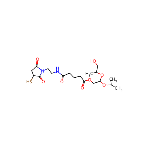 CC(C)OC(COC(=O)CCCC(=O)NCCN1C(=O)CC(S)C1=O)OC(C)CO